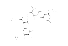 COC1CC(OC2C(C)OC(OC3C(O)CC(OC4C(C)OC(C)CC4OC)OC3C)CC2OC)OC(C)C1O